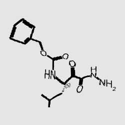 CC(C)C[C@H](NC(=O)OCc1ccccc1)C(=O)C(=O)NN